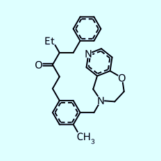 CCC(Cc1ccccc1)C(=O)CCc1ccc(C)c(CN2CCOc3ccncc3C2)c1